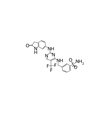 NS(=O)(=O)c1cccc(CNc2nc(Nc3ccc4c(c3)NC(=O)C4)ncc2C(F)(F)F)c1